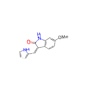 COc1ccc2c(c1)NC(=O)/C2=C\c1ccc[nH]1